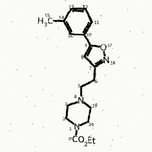 CCOC(=O)N1CCN(CCc2cc(-c3cccc(C)c3)on2)CC1